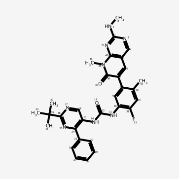 CNc1ncc2cc(-c3cc(NC(=O)Nc4cnc(C(C)(C)C)nc4-c4ccccc4)c(F)cc3C)c(=O)n(C)c2n1